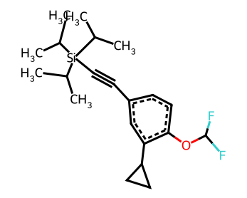 CC(C)[Si](C#Cc1ccc(OC(F)F)c(C2CC2)c1)(C(C)C)C(C)C